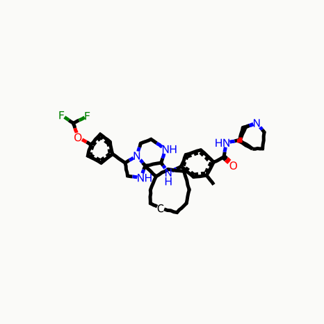 Cc1cc(NC2NCCN3C(c4ccc(OC(F)F)cc4)CNC23C2CCCCCCCC2)ccc1C(=O)NC1CN2CCC1CC2